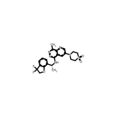 Cc1nnc(N[C@H](C)c2cccc3c2OCC3(F)F)c2cc(N3CCS(=O)(=O)CC3)cnc12